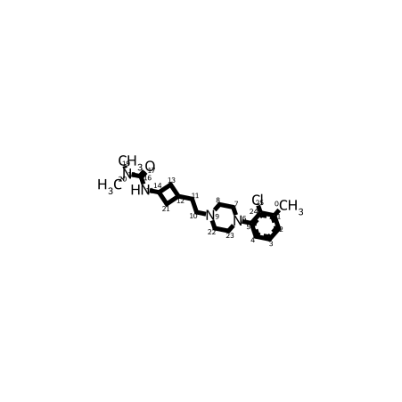 Cc1cccc(N2CCN(CCC3CC(NC(=O)N(C)C)C3)CC2)c1Cl